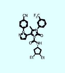 CC[C@@H]1C[C@@H](NC(=O)n2c(-c3ccnn3-c3ccc(C#N)cc3)c(C)n(-c3cccc(C(F)(F)F)c3)c2=O)C[C@@H]1CC